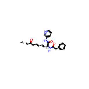 CCC(=O)CCCCC[C@H](NC(=O)Cc1ccccc1)C(=O)Nc1cccnc1